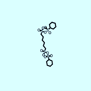 O=S(=O)(CCCCCCS(=O)(=O)OS(=O)(=O)C1CCCCC1)OS(=O)(=O)C1CCCCC1